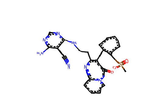 CS(=O)(=O)c1ccccc1-c1c(CCNc2ncnc(N)c2C#N)nc2ccccn2c1=O